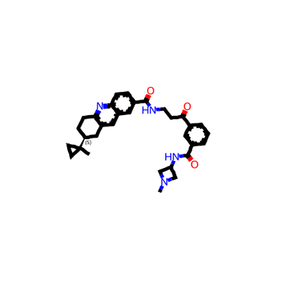 CN1CC(NC(=O)c2cccc(C(=O)CCNC(=O)c3ccc4nc5c(cc4c3)C[C@@H](C3(C)CC3)CC5)c2)C1